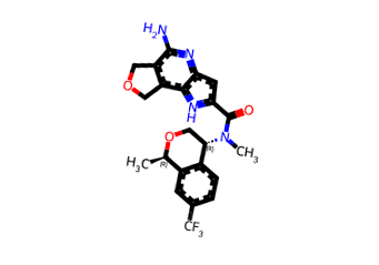 C[C@H]1OC[C@H](N(C)C(=O)c2cc3nc(N)c4c(c3[nH]2)COC4)c2ccc(C(F)(F)F)cc21